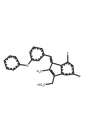 CC1=C(CC(=O)O)c2cc(F)cc(F)c2/C1=C/c1cccc(Oc2ccccc2)c1